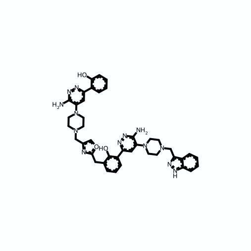 Nc1nnc(-c2ccccc2O)cc1N1CCN(Cc2coc(Cc3cccc(-c4cc(N5CCN(Cc6n[nH]c7ccccc67)CC5)c(N)nn4)c3O)n2)CC1